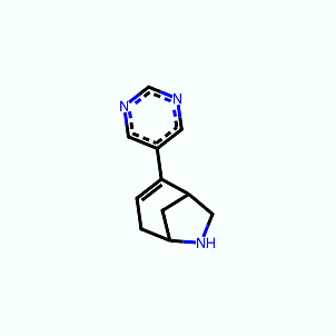 C1=C(c2cncnc2)C2CNC(C1)C2